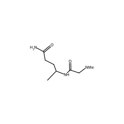 CNCC(=O)NC(C)CCC(N)=O